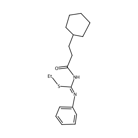 CCS/C(=N\c1ccccc1)NC(=O)CCC1CCCCC1